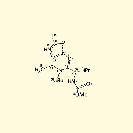 CC[C@H](C)N(C(=O)[C@@H](NC(=O)OC)C(C)C)C(C)c1ncc(I)[nH]1